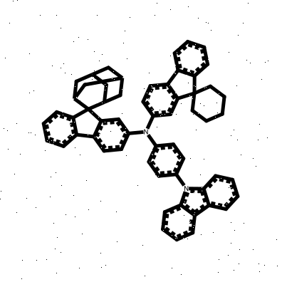 c1ccc2c(c1)-c1ccc(N(c3ccc(-n4c5ccccc5c5ccccc54)cc3)c3ccc4c(c3)C3(c5ccccc5-4)C4CC5CC(C4)CC3C5)cc1C21CCCCC1